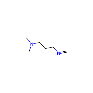 C=NCCCN(C)C